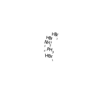 Br.Br.Br.N.P